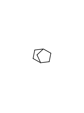 [CH]1[C]2CCC1CC2